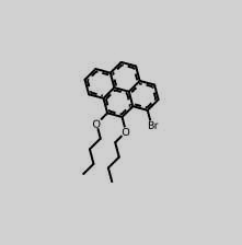 CCCCOc1c(OCCCC)c2c(Br)ccc3ccc4cccc1c4c32